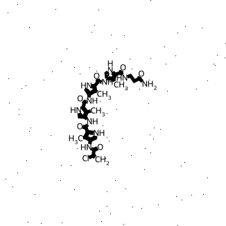 C=C(Cl)C(=O)Nc1c[nH]c(C(=O)Nc2c[nH]c(C(=O)Nc3c[nH]c(C(=O)Nc4c[nH]c(C(=O)NCCC(N)=O)c4C)c3C)c2C)c1C